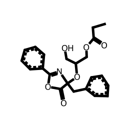 CCC(=O)OCC(CO)OC1(Cc2ccccc2)N=C(c2ccccc2)OC1=O